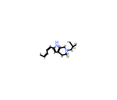 C/C=C\C=C/c1cc2c([nH]1)CN(CC(C)C)C(F)C2